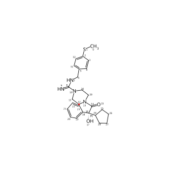 CSc1ccc(CNC(=N)N2CCN(C(=O)[C@](O)(c3ccccc3)C3CCCC3)CC2)cc1